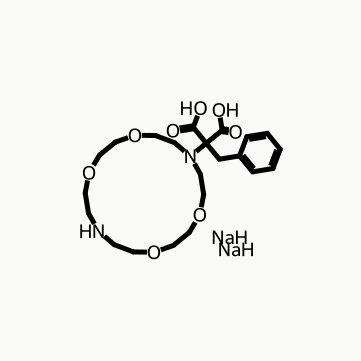 O=C(O)C(Cc1ccccc1)(C(=O)O)N1CCOCCOCCNCCOCCOCC1.[NaH].[NaH]